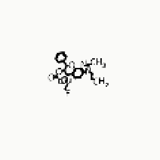 C=CCn1c(C)nc2c3c(ccc21)C(OCCF)C(OC(=O)C(C)(C)C)C(c1ccccc1)O3